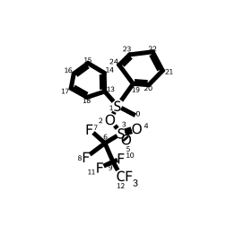 CS(OS(=O)(=O)C(F)(F)C(F)(F)C(F)(F)F)(c1ccccc1)c1ccccc1